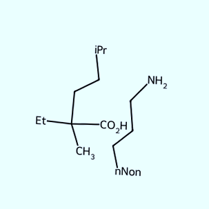 CCC(C)(CCC(C)C)C(=O)O.CCCCCCCCCCCCN